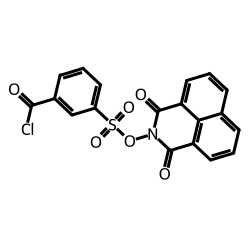 O=C(Cl)c1cccc(S(=O)(=O)ON2C(=O)c3cccc4cccc(c34)C2=O)c1